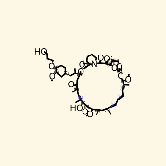 CO[C@H]1C[C@@H]2CC[C@@H](C)[C@@](O)(O2)C(=O)C(=O)N2CCCC[C@H]2C(=O)O[C@H](C(C)C[C@@H]2CC[C@@H](OCCCO)[C@H](OC)C2)CC(=O)[C@H](C)/C=C(\C)[C@@H](O)[C@@H](OC)C(=O)[C@H](C)C[C@H](C)/C=C/C=C/C=C/1C